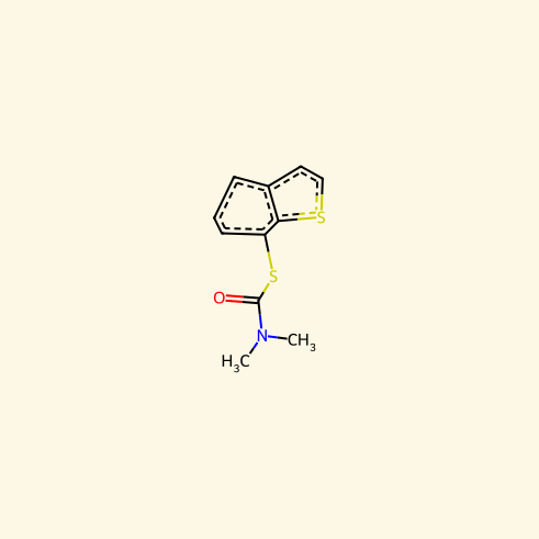 CN(C)C(=O)Sc1cccc2ccsc12